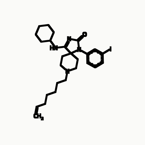 C=CCCCCCN1CCC2(CC1)C(NC1CCCCC1)=NC(=O)N2c1cccc(I)c1